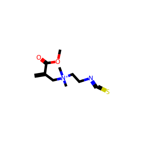 C=C(C[N+](C)(C)CCN=C=S)C(=O)OC